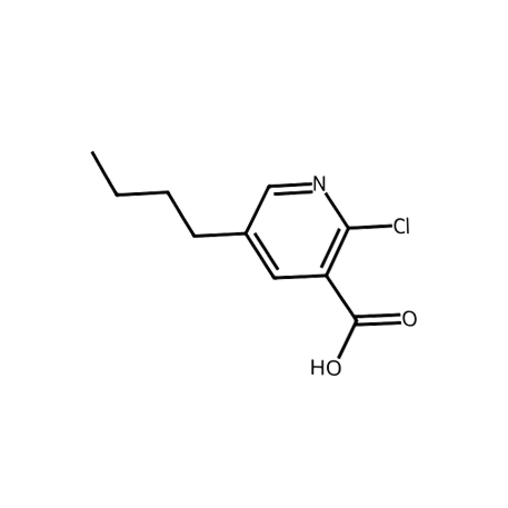 CCCCc1cnc(Cl)c(C(=O)O)c1